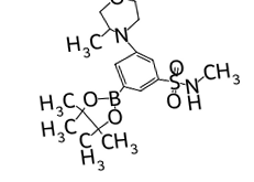 CNS(=O)(=O)c1cc(B2OC(C)(C)C(C)(C)O2)cc(N2CCOCC2C)c1